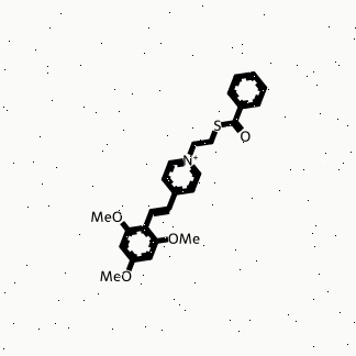 COc1cc(OC)c(/C=C/c2cc[n+](CCSC(=O)c3ccccc3)cc2)c(OC)c1